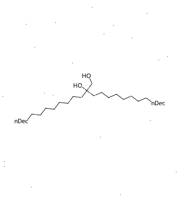 CCCCCCCCCCCCCCCCCCC(O)(CO)CCCCCCCCCCCCCCCCCC